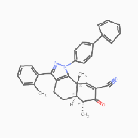 Cc1ccccc1-c1nn(-c2ccc(-c3ccccc3)cc2)c2c1CC[C@@H]1[C@@H](C)C(=O)C(C#N)=C[C@@]21C